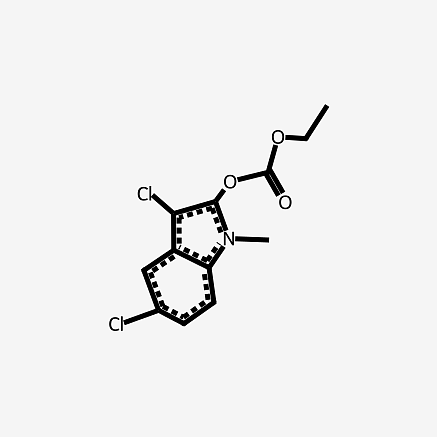 CCOC(=O)Oc1c(Cl)c2cc(Cl)ccc2n1C